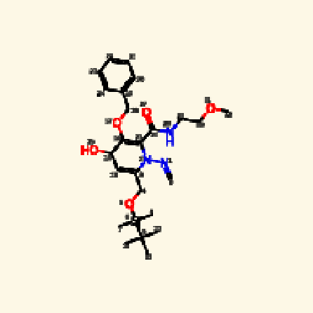 C=NN1C(CO[Si](C)(C)C(C)(C)C)=CC(O)C(OCc2ccccc2)=C1C(=O)NCCOC